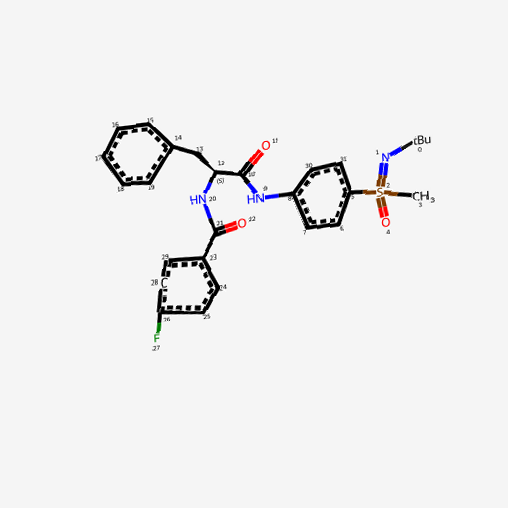 CC(C)(C)N=S(C)(=O)c1ccc(NC(=O)[C@H](Cc2ccccc2)NC(=O)c2ccc(F)cc2)cc1